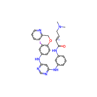 CN(C)C/C=C/C(=O)Nc1cccc(Nc2cc(Nc3ccc(OCc4ccccn4)c(I)c3)ncn2)c1